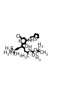 CC(Cc1oc2c(NCc3cccs3)cc(Cl)nc2c1C#C[Si](C)(C)C)NC(=O)OC(C)(C)C